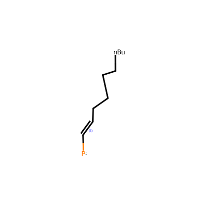 CCCCCCCC/C=C/[P]